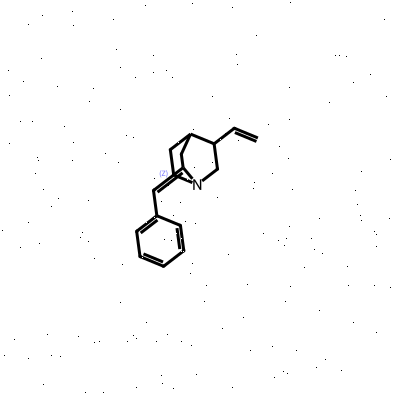 C=CC1CN2CCC1C/C2=C/c1ccccc1